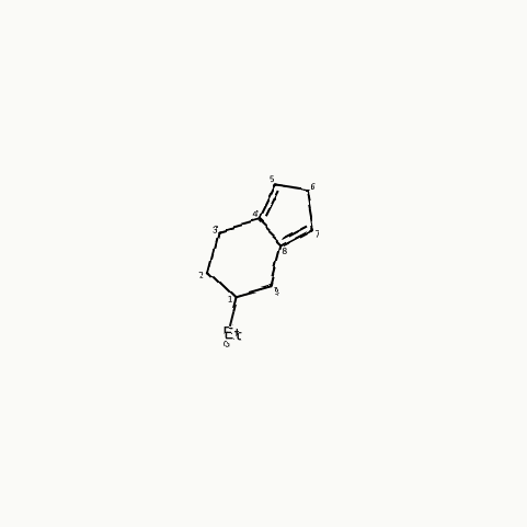 CCC1CCC2=CCC=C2C1